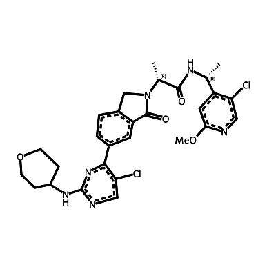 COc1cc([C@@H](C)NC(=O)[C@@H](C)N2Cc3ccc(-c4nc(NC5CCOCC5)ncc4Cl)cc3C2=O)c(Cl)cn1